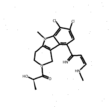 CN/C=C\C(=N)c1cc(Cl)c(Cl)c2c1c1c(n2C)CCN(C(=O)[C@@H](C)O)C1